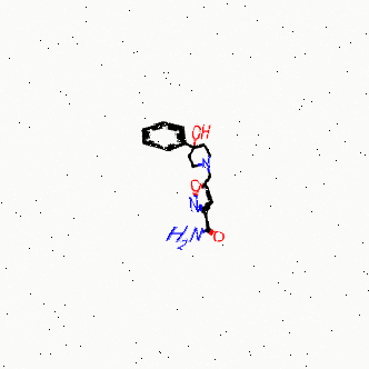 NC(=O)c1cc(CN2CCC(O)(c3ccccc3)CC2)on1